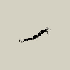 CCCCCCCCCCOc1ccc(OC(=O)c2ccc(-c3ccc(CC[C@@H](C)CC)cc3)cc2)cc1